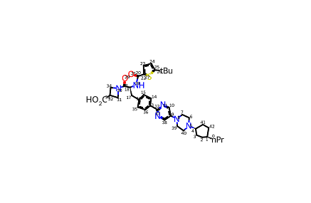 CCC[C@H]1CC[C@@H](N2CCN(c3cnc(-c4ccc(C[C@H](NC(=O)c5ccc(C(C)(C)C)s5)C(=O)N5CC(C(=O)O)C5)cc4)nc3)CC2)CC1